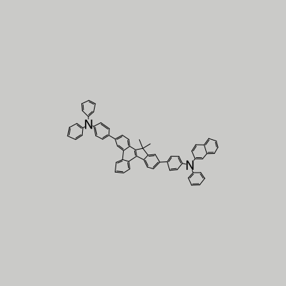 CC1(C)c2cc(-c3ccc(N(c4ccccc4)c4ccc5ccccc5c4)cc3)ccc2-c2c1c1ccc(-c3ccc(N(c4ccccc4)c4ccccc4)cc3)cc1c1ccccc21